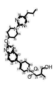 CCCc1cnc(N2CCC(Oc3nc4ccc(C5=CCN(S(=O)(=O)CC(C)CO)CC5)cc4s3)CC2)nc1